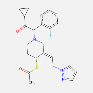 CC(=O)SC1CCN(C(C(=O)C2CC2)c2ccccc2F)CC1=CCn1cccn1